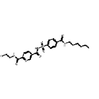 CCCCCCNC(=O)c1ccc(S(=O)(=O)NC(=O)c2ccc(C(=O)NCCO)nc2)cc1